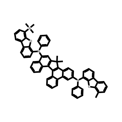 Cc1cccc2c1oc1c(N(c3ccccc3)c3ccc4c5c(c6ccccc6c4c3)-c3c(cc(N(c4ccccc4)c4cccc6c4oc4c([Si](C)(C)C)cccc46)c4ccccc34)C5(C)C)cccc12